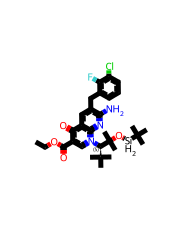 CCOC(=O)c1cn([C@@H](C(C)(C)C)C(C)(C)O[SiH2]C(C)(C)C)c2nc(N)c(Cc3cccc(Cl)c3F)cc2c1=O